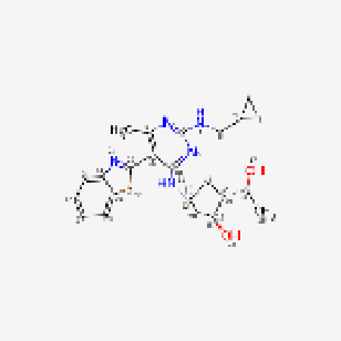 Cc1nc(NCC2CC2)nc(N[C@@H]2C[C@H](C(C)O)[C@@H](O)C2)c1-c1nc2ccccc2s1